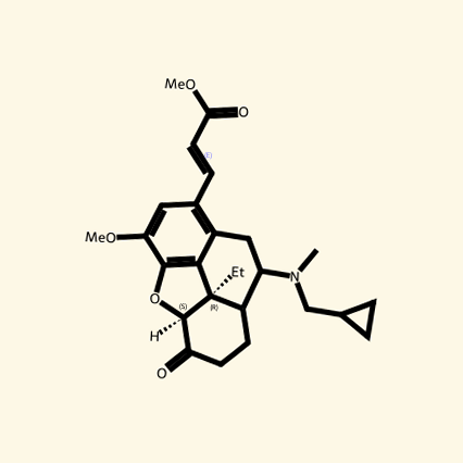 CC[C@@]12c3c4c(/C=C/C(=O)OC)cc(OC)c3O[C@@H]1C(=O)CCC2C(N(C)CC1CC1)C4